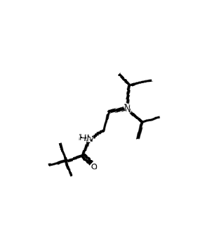 CC(C)N(CCNC(=O)C(C)(C)C)C(C)C